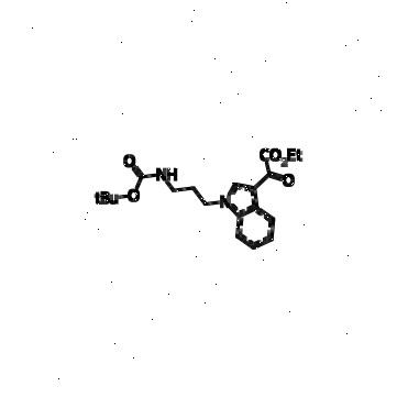 CCOC(=O)C(=O)c1cn(CCCNC(=O)OC(C)(C)C)c2ccccc12